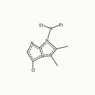 CCN(CC)n1c(C)c(C)n2c(Cl)cnc12